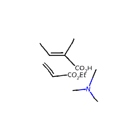 C=CC(=O)OCC.CC=C(C)C(=O)O.CN(C)C